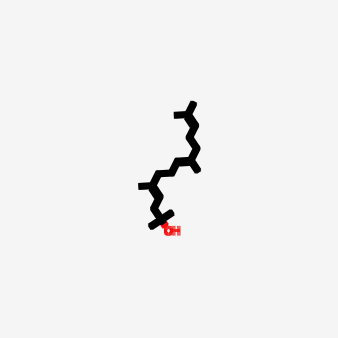 CC(C)=CCCC(C)=CCCC(C)=CCC(C)(C)O